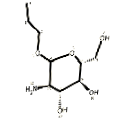 CCCOC1O[C@H](CO)[C@@H](O)[C@H](O)[C@H]1N